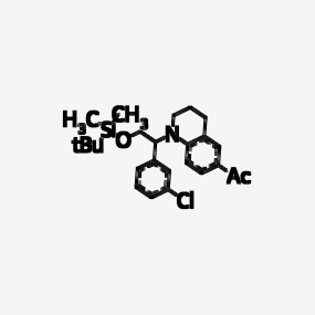 CC(=O)c1ccc2c(c1)CCCN2C(CO[Si](C)(C)C(C)(C)C)c1cccc(Cl)c1